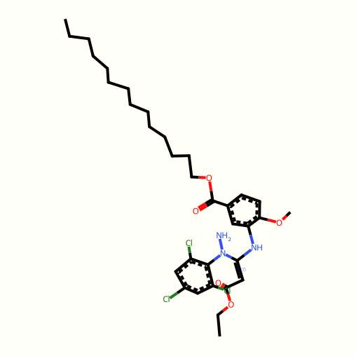 CCCCCCCCCCCCCCOC(=O)c1ccc(OC)c(N/C(=C/C(=O)OCC)N(N)c2c(Cl)cc(Cl)cc2Cl)c1